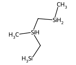 C[SiH2]C[SiH](C)C[SiH3]